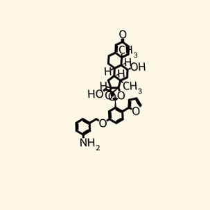 C[C@]12C=CC(=O)C=C1CC[C@@H]1[C@@H]2[C@@H](O)C[C@@]2(C)[C@H]1C[C@H]1O[C@H](c3cc(OCc4cccc(N)c4)ccc3-c3ccco3)O[C@]12C(=O)CO